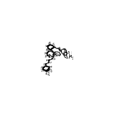 CO[C@H]1Cc2ccccc2[C@]2(CCCN(CCCCc3ccccc3)C2)O1